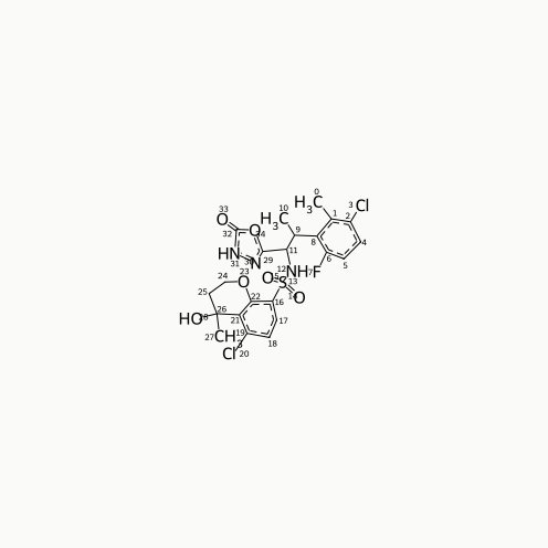 Cc1c(Cl)ccc(F)c1C(C)C(NS(=O)(=O)c1ccc(Cl)c2c1OCCC2(C)O)c1n[nH]c(=O)o1